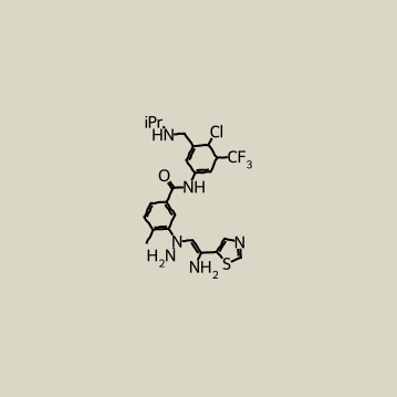 Cc1ccc(C(=O)NC2=CC(C(F)(F)F)C(Cl)C(CNC(C)C)=C2)cc1N(N)/C=C(\N)c1cncs1